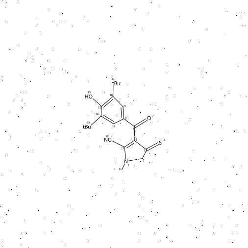 CN1CC(=S)C(C(=O)c2cc(C(C)(C)C)c(O)c(C(C)(C)C)c2)=C1C#N